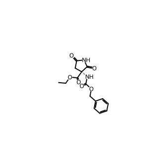 CCOC(=O)[C@@]1(NC(=O)OCc2ccccc2)CC(=O)NC1=O